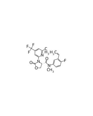 C=Cc1cc(N(C)C(=O)[C@@H]2COC(=O)N2c2cc(C(F)(F)F)cc(C)n2)ccc1F